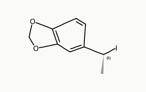 C[C@@H](I)c1ccc2c(c1)OCO2